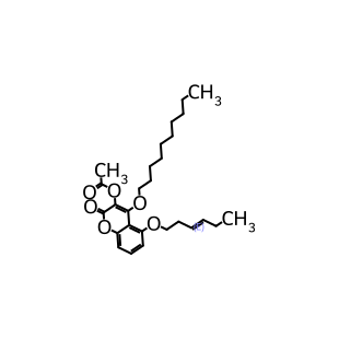 CC/C=C/CCOc1cccc2oc(=O)c(OC(C)=O)c(OCCCCCCCCCC)c12